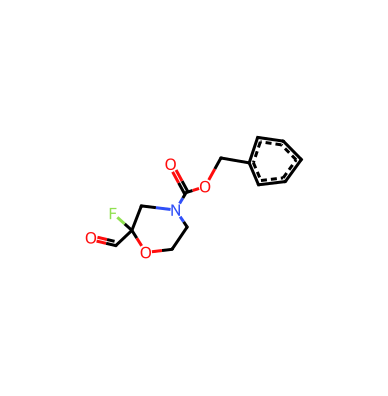 O=CC1(F)CN(C(=O)OCc2ccccc2)CCO1